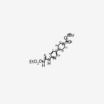 CCOC(=O)NC(=S)Nc1ccc(N2CCN(C(=O)OC(C)(C)C)CC2)cn1